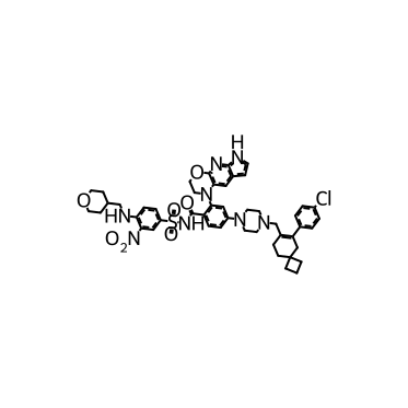 O=C(NS(=O)(=O)c1ccc(NCC2CCOCC2)c([N+](=O)[O-])c1)c1ccc(N2CCN(CC3=C(c4ccc(Cl)cc4)CC4(CCC4)CC3)CC2)cc1N1CCOc2nc3[nH]ccc3cc21